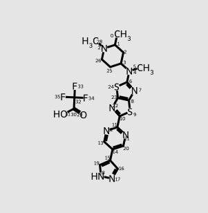 CC1CC(N(C)c2nc3sc(-c4ncc(-c5cn[nH]c5)cn4)nc3s2)CCN1C.O=C(O)C(F)(F)F